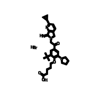 Br.CC(C)(C)c1cc(C(=O)CN2Cc3ccc(C4CC4)nc3C2=N)cc(N2CCCC2)c1OCCCCC(=O)O